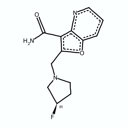 NC(=O)c1c(CN2CC[C@@H](F)C2)oc2cccnc12